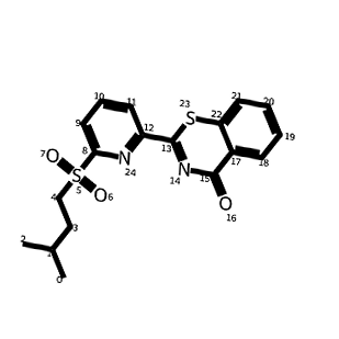 CC(C)CCS(=O)(=O)c1cccc(-c2nc(=O)c3ccccc3s2)n1